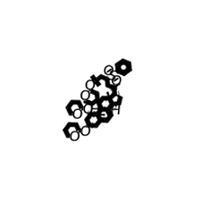 C[C@H](CC(CC(C)(C)OC1CCCCO1)S(=O)(=O)c1ccccc1)[C@H]1CC[C@H]2C3=CC=C4C[C@@H](OC5CCCCO5)C[C@H](OC5CCCCO5)[C@]4(C)[C@H]3CC[C@]12C